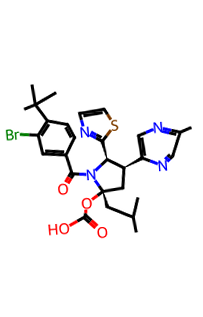 Cc1cnc([C@H]2C[C@](CC(C)C)(OC(=O)O)N(C(=O)c3ccc(C(C)(C)C)c(Br)c3)[C@H]2c2nccs2)cn1